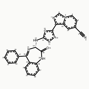 N#Cc1ccn2cnc(-c3nnc(N[C@H]4N=C(c5ccccc5)c5ccccc5NC4=O)o3)c2c1